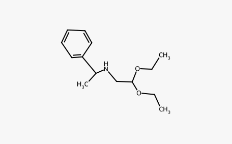 CCOC(CNC(C)c1ccccc1)OCC